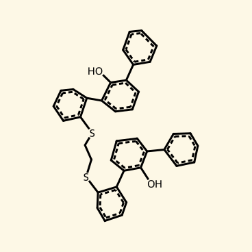 Oc1c(-c2ccccc2)cccc1-c1ccccc1SCCSc1ccccc1-c1cccc(-c2ccccc2)c1O